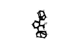 O=C(O)c1c(C2C3CC4CC(C3)CC2C4)cccc1C1C2CC3CC(C2)CC1C3